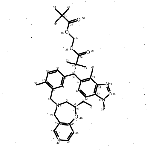 CC[C@@H]1CN(Cc2cc([C@@H](c3ccc4c(nnn4C)c3C)C(C)(C)C(=O)OCOC(=O)C(C)(C)C)ccc2C)Cc2cnccc2O1